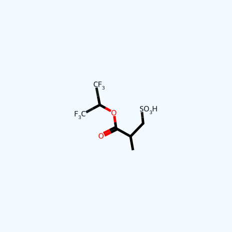 CC(CS(=O)(=O)O)C(=O)OC(C(F)(F)F)C(F)(F)F